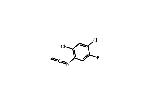 Fc1cc(N=C=S)c(Cl)cc1Cl